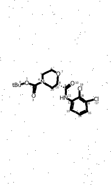 CC(C)(C)OC(=O)N1CCO[C@H](C(=O)Nc2cccc(Cl)c2Cl)C1